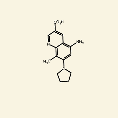 Cc1c(N2CCCC2)cc(N)c2cc(C(=O)O)cnc12